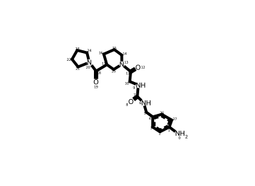 Nc1ccc(CNC(=O)NCC(=O)N2CCCC(C(=O)N3CCCC3)C2)cc1